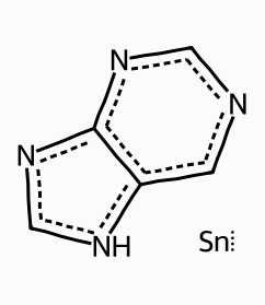 [Sn].c1ncc2[nH]cnc2n1